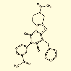 CC(=O)c1cccc(-n2c(=O)c3c4c(sc3n(Cc3ccccc3)c2=O)CN(C(C)=O)CC4)c1